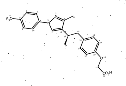 Cc1nn(-c2ccc(C(F)(F)F)cc2)cc1[C@H](C)Cc1ccc(OCC(=O)O)cc1